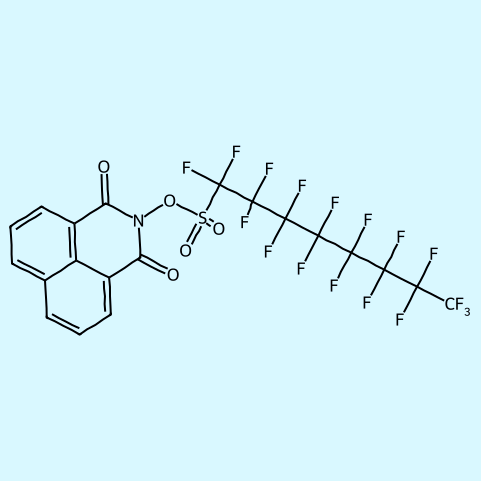 O=C1c2cccc3cccc(c23)C(=O)N1OS(=O)(=O)C(F)(F)C(F)(F)C(F)(F)C(F)(F)C(F)(F)C(F)(F)C(F)(F)C(F)(F)F